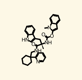 Cn1c(OC(=O)N[C@@](C)(Cc2c[nH]c3ccccc23)C(=O)NCC2(c3ccccn3)CCCCC2)cc2ccccc21